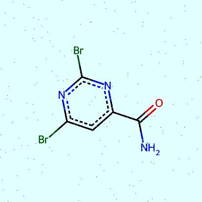 NC(=O)c1cc(Br)nc(Br)n1